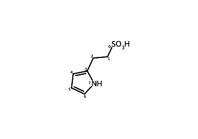 O=S(=O)(O)CCc1ccc[nH]1